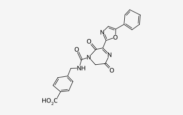 O=C1CN(C(=O)NCc2ccc(C(=O)O)cc2)C(=O)C(c2ncc(-c3ccccc3)o2)=N1